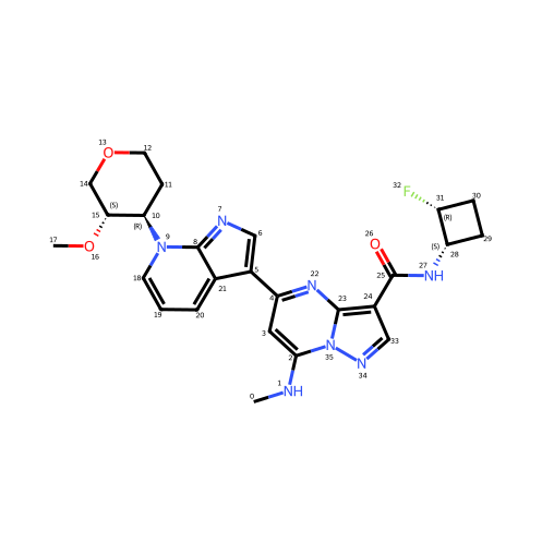 CNc1cc(-c2cnc3n([C@@H]4CCOC[C@H]4OC)cccc2-3)nc2c(C(=O)N[C@H]3CC[C@H]3F)cnn12